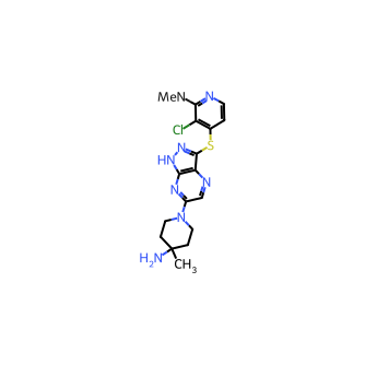 CNc1nccc(Sc2n[nH]c3nc(N4CCC(C)(N)CC4)cnc23)c1Cl